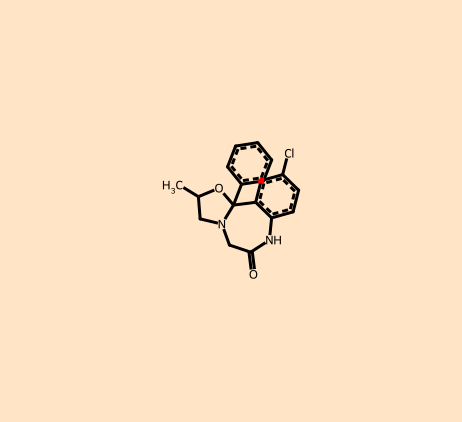 CC1CN2CC(=O)Nc3ccc(Cl)cc3C2(c2ccccc2)O1